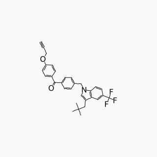 C#CCOc1ccc(C(=O)c2ccc(Cn3cc(CC(C)(C)C)c4cc(C(F)(F)F)ccc43)cc2)cc1